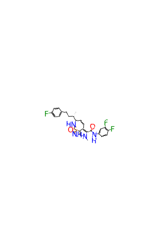 C[C@@H](CCc1ccc(F)cc1)C1C=Cc2c(cn(C)c2C(=O)Nc2ccc(F)c(F)c2)S(=N)(=O)N1